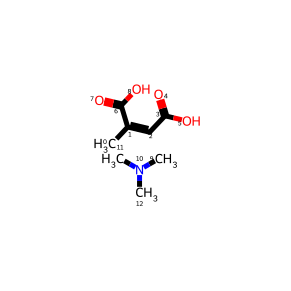 CC(=CC(=O)O)C(=O)O.CN(C)C